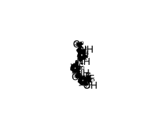 CC(=O)c1cc2cc(NCc3cccc(NC(=O)c4ccc(O)c(C(F)(F)F)c4)c3F)cnc2[nH]1